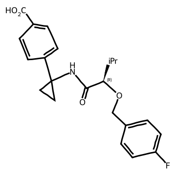 CC(C)[C@@H](OCc1ccc(F)cc1)C(=O)NC1(c2ccc(C(=O)O)cc2)CC1